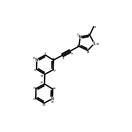 Cc1nc(C#Cc2cncc(-c3cccnc3)c2)cs1